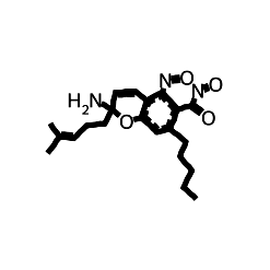 CCCCCc1cc2c(c(N=O)c1C(=O)N=O)C=CC(N)(CCC=C(C)C)O2